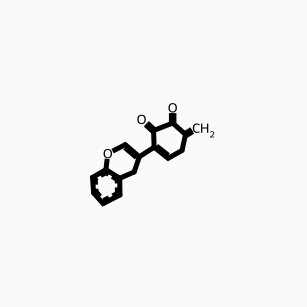 C=C1CC=C(C2=COc3ccccc3C2)C(=O)C1=O